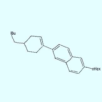 CCCCCCc1ccc2cc(C3=CCC(CC(C)CC)CC3)ccc2c1